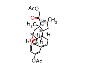 CC(=O)OCC(=O)[C@H]1[C@@H](C)C[C@H]2[C@@H]3CC=C4C=C(OC(C)=O)C=C[C@]4(C)[C@@]34O[C@H]4C[C@@]21C